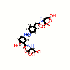 O=C(O)CC(NC(=O)Cc1ccc(/N=N/c2ccc(O)c(C(=O)NC(CC(=O)O)C(=O)O)c2)cc1)C(=O)O